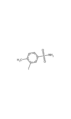 Cc1ccc(S(N)(=O)=O)cc1I